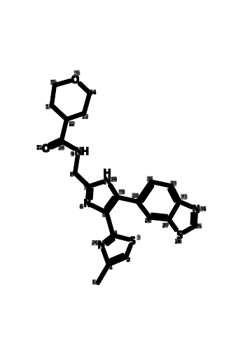 Cc1csc(-c2nc(CNC(=O)C3CCOCC3)[nH]c2-c2ccc3ncsc3c2)n1